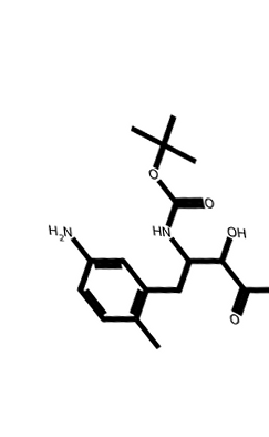 Cc1ccc(N)cc1CC(NC(=O)OC(C)(C)C)C(O)C(=O)O